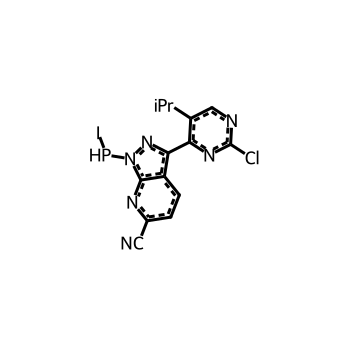 CC(C)c1cnc(Cl)nc1-c1nn(PI)c2nc(C#N)ccc12